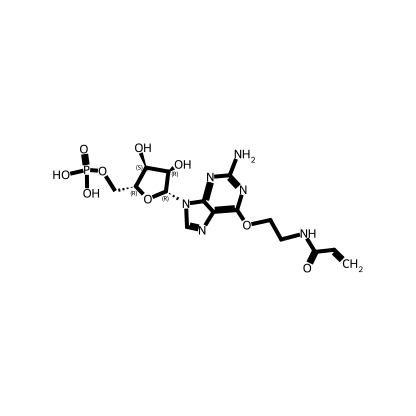 C=CC(=O)NCCOc1nc(N)nc2c1ncn2[C@@H]1O[C@H](COP(=O)(O)O)[C@@H](O)[C@H]1O